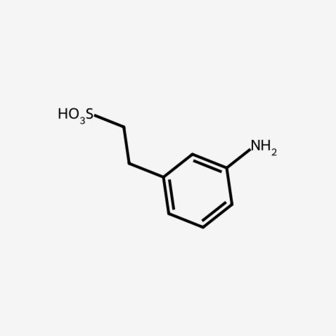 Nc1cccc(CCS(=O)(=O)O)c1